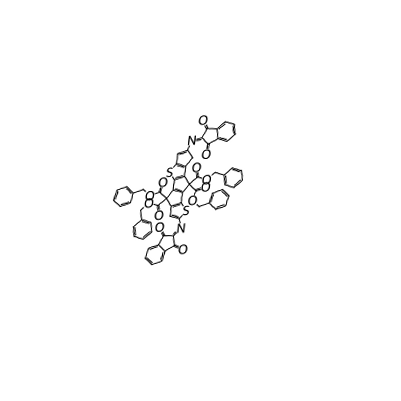 O=C(OCc1ccccc1)C1(C(=O)OCc2ccccc2)C2=C(c3sc(N=c4c(=O)c5ccccc5c4=O)cc31)C(C(=O)OCc1ccccc1)(C(=O)OCc1ccccc1)c1c2sc2c1CC(N=c1c(=O)c3ccccc3c1=O)=C2